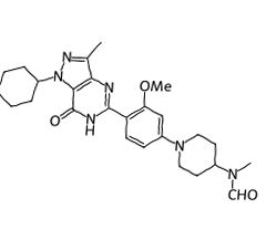 COc1cc(N2CCC(N(C)C=O)CC2)ccc1-c1nc2c(C)nn(C3CCCCC3)c2c(=O)[nH]1